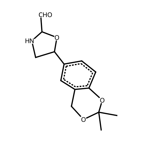 CC1(C)OCc2cc(C3CNC(C=O)O3)ccc2O1